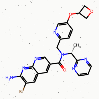 C[C@H](c1ncccn1)N(Cc1ccc(OC2COC2)cn1)C(=O)c1cnc2nc(N)c(Br)cc2c1